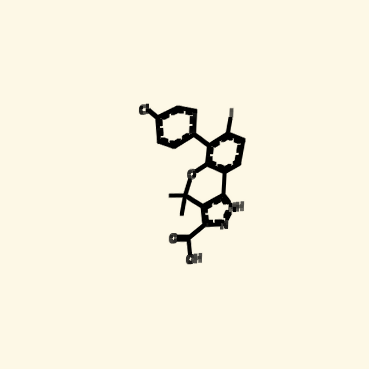 CC1(C)Oc2c(ccc(I)c2-c2ccc(Cl)cc2)-c2[nH]nc(C(=O)O)c21